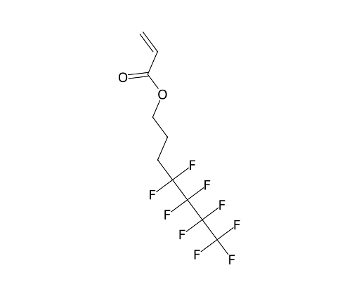 C=CC(=O)OCCCC(F)(F)C(F)(F)C(F)(F)C(F)(F)F